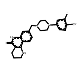 N#Cc1ccc(N2CCN(Cc3ccc4c5c(c(=O)[nH]c4c3)CCCN5)CC2)cc1F